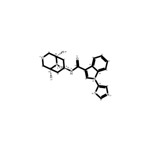 CN1[C@@H]2COC[C@H]1C[C@@H](NC(=O)c1cn(-c3cncs3)c3ccccc13)C2